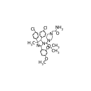 COc1ccc(C2=NC(C)(c3ccc(Cl)cc3)C(c3ccc(Cl)cc3)N2C(=O)N2CCN(CC(N)=O)CC2)c(OC(C)C)c1